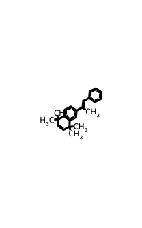 C/C(=C\c1ccccc1)c1ccc2c(c1)C(C)(C)C=CC2(C)C